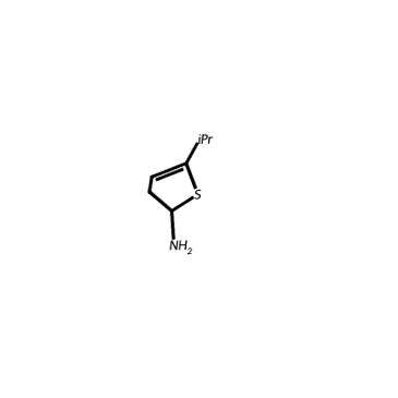 CC(C)C1=CCC(N)S1